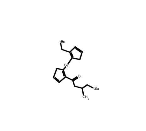 CC(CC(=O)C1=[C]([Fe][C]2=C(CC(C)(C)C)C=CC2)CC=C1)CC(C)(C)C